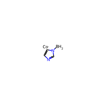 Bn1ccnc1.[Co]